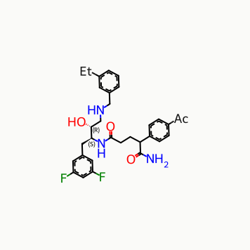 CCc1cccc(CNC[C@@H](O)[C@H](Cc2cc(F)cc(F)c2)NC(=O)CCC(C(N)=O)c2ccc(C(C)=O)cc2)c1